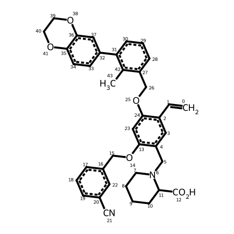 C=Cc1cc(CN2CCCCC2C(=O)O)c(OCc2cccc(C#N)c2)cc1OCc1cccc(-c2ccc3c(c2)OCCO3)c1C